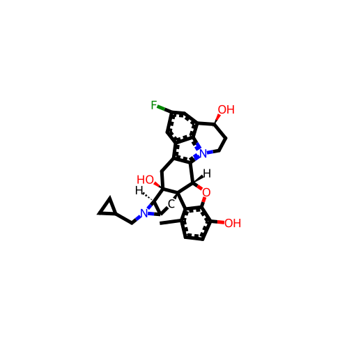 Cc1ccc(O)c2c1[C@]13CC4[C@@H](N4CC4CC4)[C@]1(O)Cc1c(n4c5c(cc(F)cc15)[C@@H](O)CC4)[C@@H]3O2